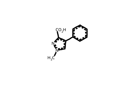 Cn1cc(-c2ccccc2)c(C(=O)O)n1